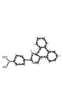 OB(O)c1ccc(-c2ncc3c4ccccc4c4ccccc4c3n2)cc1